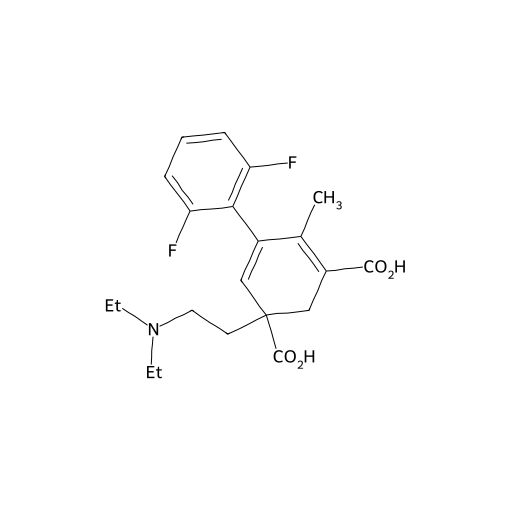 CCN(CC)CCC1(C(=O)O)C=C(c2c(F)cccc2F)C(C)=C(C(=O)O)C1